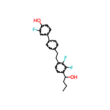 CCCC(O)c1ccc(CCc2ccc(-c3ccc(O)c(F)c3)cc2)c(F)c1F